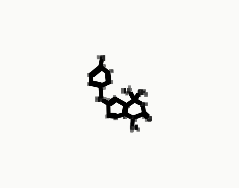 CN1C(=O)OC(C)(C)c2cc(Nc3ccc(Cl)cc3)ccc21